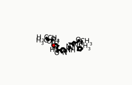 CN(C)C(=O)c1cc2cnc(Nc3ccc(C(=O)N4C[C@H]5C[C@@H]4CN5C(=O)OC(C)(C)C)cn3)nc2n1C1CCCC1